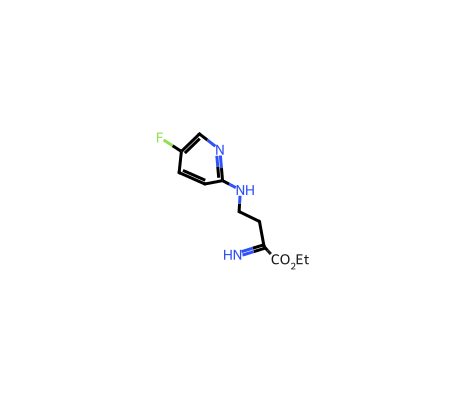 CCOC(=O)C(=N)CCNc1ccc(F)cn1